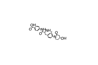 NC(Cc1ccc(N2CCC(O)CC2=O)cc1)C(=O)Nc1ccc(C(=O)O)cc1